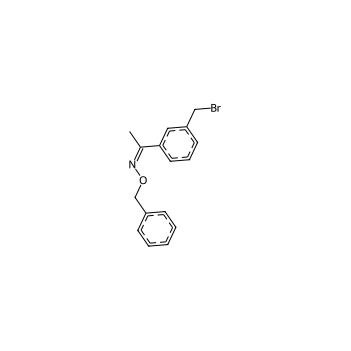 CC(=NOCc1ccccc1)c1cccc(CBr)c1